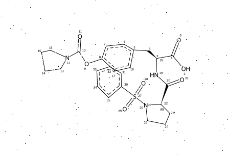 O=C(O)[C@H](Cc1ccc(OC(=O)N2CCCC2)cc1)NC(=O)[C@H]1CCCN1S(=O)(=O)c1ccccc1